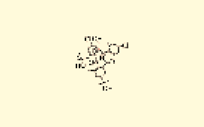 CC(C)(O)c1cc(F)c2c(c1)C(=O)N([C@H](c1ccc(Cl)cn1)C(O)CO)[C@@]2(OCC1(O)CC1)c1ccc(Cl)cc1